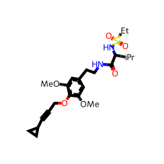 CCS(=O)(=O)NC(C(=O)NCCc1cc(OC)c(OCC#CC2CC2)c(OC)c1)C(C)C